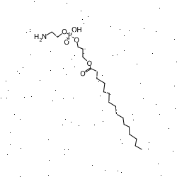 CCCCCCCCCCCCCCCC(=O)OC[CH]COP(=O)(O)OCCN